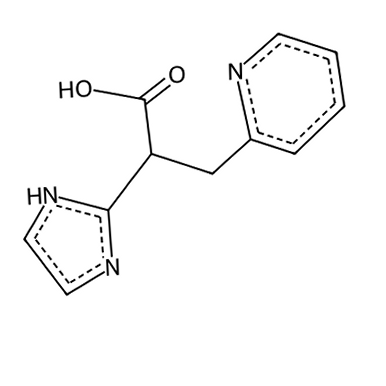 O=C(O)C(Cc1ccccn1)c1ncc[nH]1